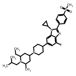 CCC1CC(N2CCC(c3cc(F)c4nc(-c5ccc(S(C)(=O)=O)cc5)n(C5CC5)c4c3)CC2)CC(C)N1CC(C)C